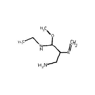 C=NC(CN)C(NCC)OC